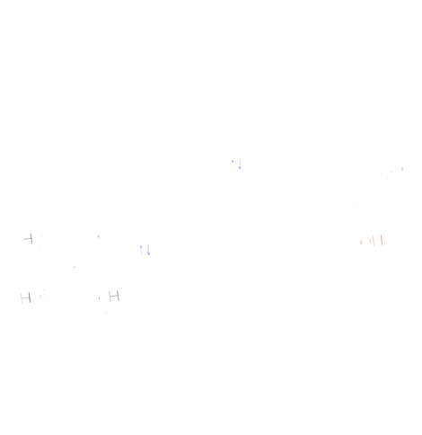 CC(C)(C)c1ccc(CN2CCC(C(=O)O)CC2)cn1